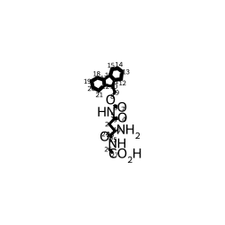 N[C@@H](CC(=O)NC(=O)OCC1c2ccccc2-c2ccccc21)C(=O)NCC(=O)O